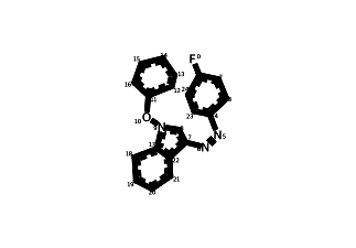 Fc1ccc(/N=N\c2cn(Oc3ccccc3)c3ccccc23)cc1